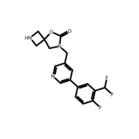 O=C1OC2(CNC2)CN1Cc1cncc(-c2ccc(F)c(C(F)F)c2)c1